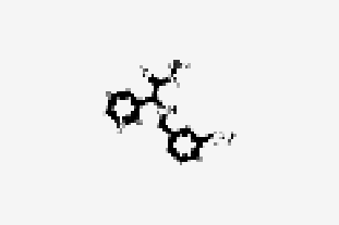 CC(C)(C)OC(=O)C(NCc1cccc(C(=O)O)c1)c1cccnc1